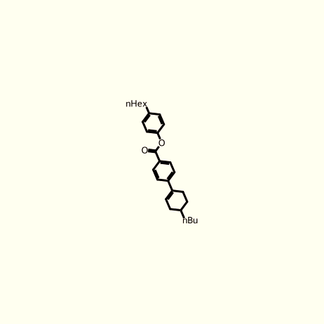 CCCCCCc1ccc(OC(=O)c2ccc(C3=CCC(CCCC)CC3)cc2)cc1